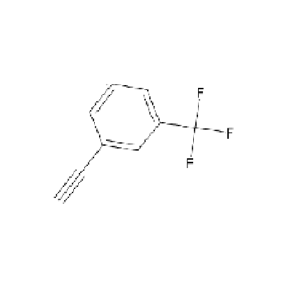 C#Cc1c[c]cc(C(F)(F)F)c1